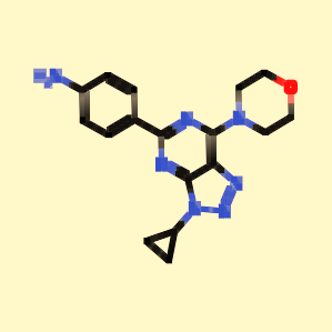 Nc1ccc(-c2nc(N3CCOCC3)c3nnn(C4CC4)c3n2)cc1